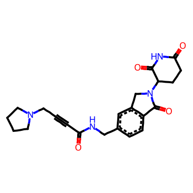 O=C(C#CCN1CCCC1)NCc1ccc2c(c1)CN(C1CCC(=O)NC1=O)C2=O